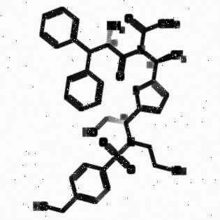 COC(=O)N(C(=O)[C@@H](N)C(c1ccccc1)c1ccccc1)[C@H](c1ccc([C@@H](CO)N(CCC(C)(C)C)S(=O)(=O)c2ccc(CO)cc2)s1)C(F)(F)F